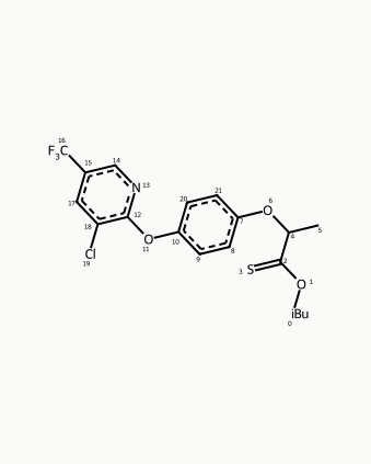 CCC(C)OC(=S)C(C)Oc1ccc(Oc2ncc(C(F)(F)F)cc2Cl)cc1